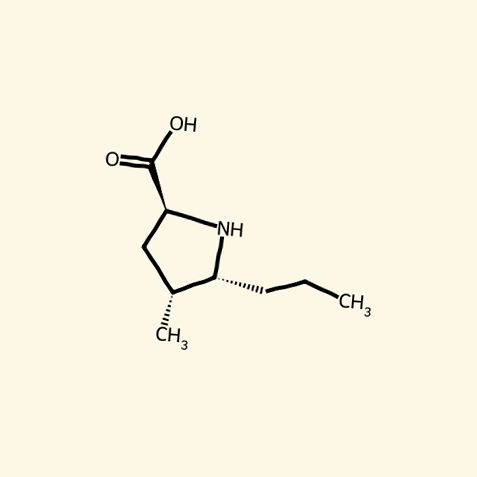 CCC[C@H]1N[C@H](C(=O)O)C[C@H]1C